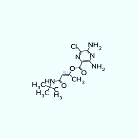 C/C(=C\C(=O)NC(C)(C)C)OC(=O)c1nc(Cl)c(N)nc1N